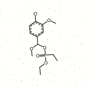 CCOP(=O)(CC)OC(OC)c1ccc(Cl)c(OC)c1